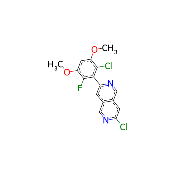 COc1cc(OC)c(Cl)c(-c2cc3cnc(Cl)cc3cn2)c1F